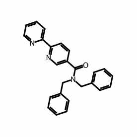 O=C(c1ccc(-c2ccccn2)nc1)N(Cc1ccccc1)Cc1ccccc1